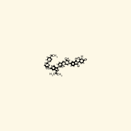 COC1CCN(c2nccc(Nc3cc4c(cn3)c(N3CCC(CN5C(C)CN(c6ccc7c(c6)C(=O)N(C6CCC(=O)NC6=O)C7=O)CC5C)CC3)nn4C(C)C)n2)CC1